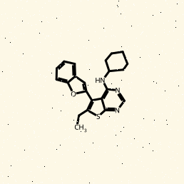 CCc1sc2ncnc(NC3CCCCC3)c2c1-c1cc2ccccc2o1